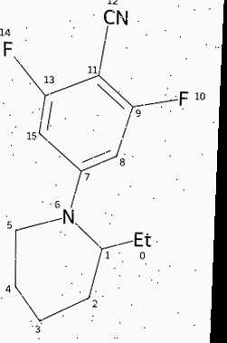 CCC1CCCCN1c1cc(F)c(C#N)c(F)c1